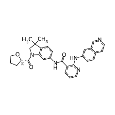 CC1(C)CN(C(=O)[C@@H]2CCCO2)c2cc(NC(=O)c3cccnc3Nc3ccc4ccncc4c3)ccc21